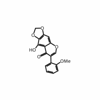 COc1ccccc1-c1coc2cc3c(c(O)c2c1=O)OCO3